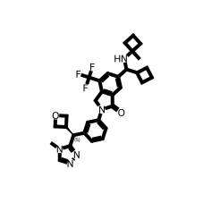 Cn1cnnc1[C@H](c1cccc(N2Cc3c(cc(C(NC4(C)CCC4)C4CCC4)cc3C(F)(F)F)C2=O)c1)C1COC1